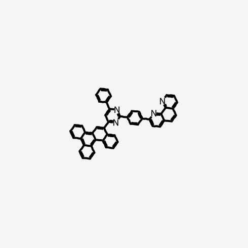 c1ccc(-c2cc(-c3cc4c5ccccc5c5ccccc5c4c4ccccc34)nc(-c3ccc(-c4ccc5ccc6cccnc6c5n4)cc3)n2)cc1